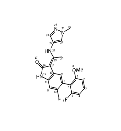 COc1cccc(F)c1-c1cc2c(cc1C)NC(=O)/C2=C(/C)Nc1cnn(C)c1